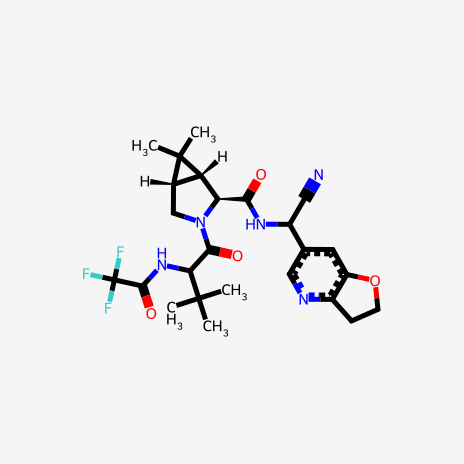 CC(C)(C)C(NC(=O)C(F)(F)F)C(=O)N1C[C@H]2[C@@H]([C@H]1C(=O)NC(C#N)c1cnc3c(c1)OCC3)C2(C)C